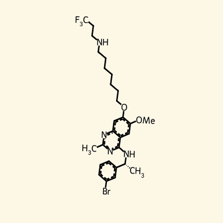 COc1cc2c(N[C@H](C)c3cccc(Br)c3)nc(C)nc2cc1OCCCCCCCNCCC(F)(F)F